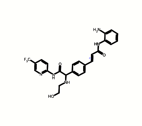 Nc1ccccc1NC(=O)/C=C/c1ccc(C(NCCO)C(=O)Nc2ccc(C(F)(F)F)cn2)cc1